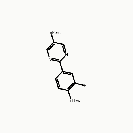 CCCCCCc1ccc(-c2ncc(CCCCC)cn2)cc1F